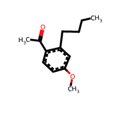 CCCCc1cc(OC)ccc1C(C)=O